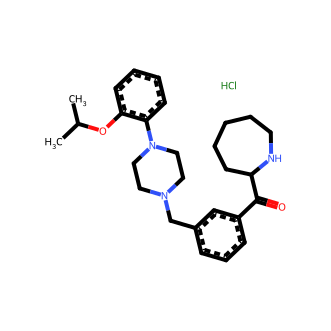 CC(C)Oc1ccccc1N1CCN(Cc2cccc(C(=O)C3CCCCCN3)c2)CC1.Cl